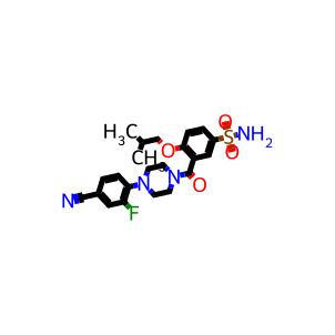 CC(C)COc1ccc(S(N)(=O)=O)cc1C(=O)N1CCN(c2ccc(C#N)cc2F)CC1